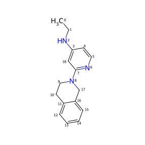 CCNc1ccnc(N2CCc3ccccc3C2)c1